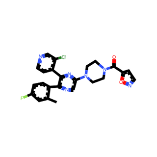 Cc1cc(F)ccc1-c1ncc(N2CCN(C(=O)c3ccno3)CC2)nc1-c1ccncc1Cl